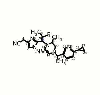 CNn1cc(CC#N)nc1/C(=C(\C)F)N1CCN(C(C)c2ccc(C3CC3)nc2)CC1C